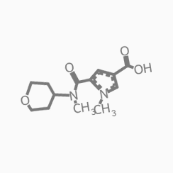 CN(C(=O)c1cc(C(=O)O)cn1C)C1CCOCC1